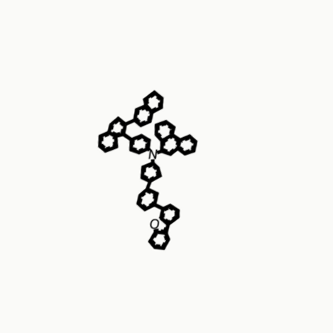 c1cc(-c2ccc(N(c3ccc(-c4c(-c5ccc6ccccc6c5)ccc5ccccc45)cc3)c3cc4ccccc4c4ccccc34)cc2)cc(-c2cccc3c2oc2ccccc23)c1